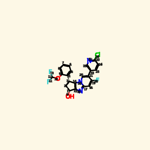 O[C@@H]1C[C@H](c2ccccc2OC(F)F)c2c1nc1cc(F)c(-c3ccc(Cl)nc3)cn21